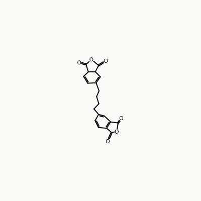 O=C1OC(=O)c2cc(CCCCC3=CC4C(=O)OC(=O)C4C=C3)ccc21